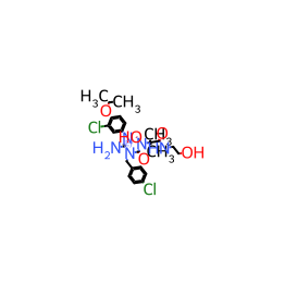 CC(C)Oc1ccc(/N=C(\N)N(Cc2ccc(Cl)cc2)C(=O)N(O)C(C)(C)C(=O)NCCO)cc1Cl